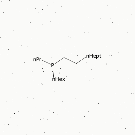 CCCCCCCCCP(CCC)CCCCCC